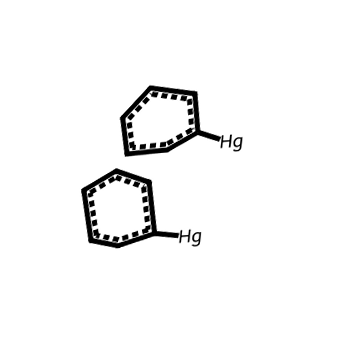 [Hg][c]1ccccc1.[Hg][c]1ccccc1